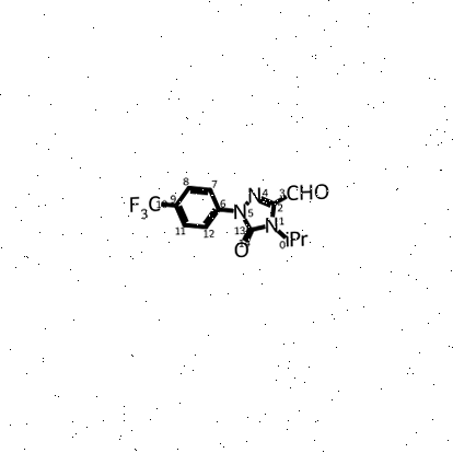 CC(C)n1c(C=O)nn(-c2ccc(C(F)(F)F)cc2)c1=O